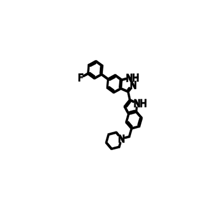 Fc1cccc(-c2ccc3c(-c4cc5cc(CN6CCCCC6)ccc5[nH]4)n[nH]c3c2)c1